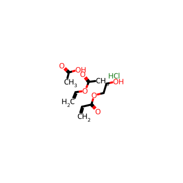 C=CC(=O)OCCO.C=COC(C)=O.CC(=O)O.Cl